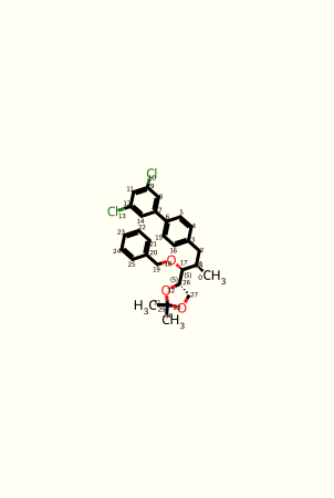 C[C@H](Cc1ccc(-c2cc(Cl)cc(Cl)c2)cc1)[C@H](OCc1ccccc1)[C@@H]1COC(C)(C)O1